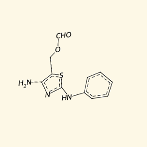 Nc1nc(Nc2ccccc2)sc1COC=O